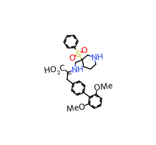 COc1cccc(OC)c1-c1ccc(C[C@H](NCC2(S(=O)(=O)c3ccccc3)CCCNC2)C(=O)O)cc1